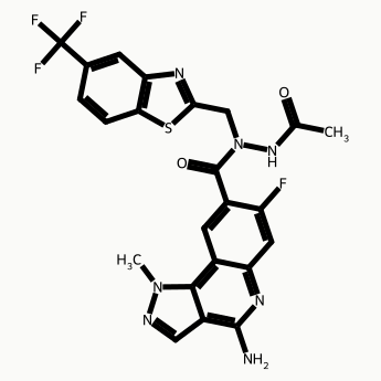 CC(=O)NN(Cc1nc2cc(C(F)(F)F)ccc2s1)C(=O)c1cc2c(cc1F)nc(N)c1cnn(C)c12